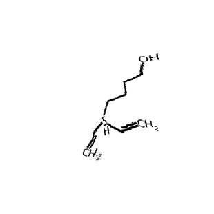 C=C[SH](C=C)CCCCO